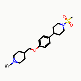 CC(C)N1CCC(COc2ccc(C3CCN(S(C)(=O)=O)CC3)cc2)CC1